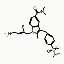 Cc1c(Cc2ccc(S(=O)(=O)N(C)C)cc2)c2cc(C(=O)N(C)C)ccc2n1C/C(F)=C/CN